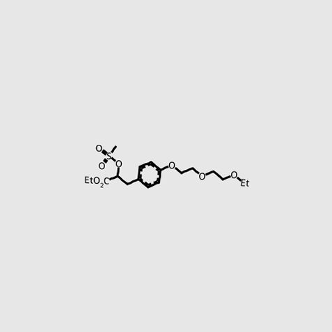 CCOCCOCCOc1ccc(CC(OS(C)(=O)=O)C(=O)OCC)cc1